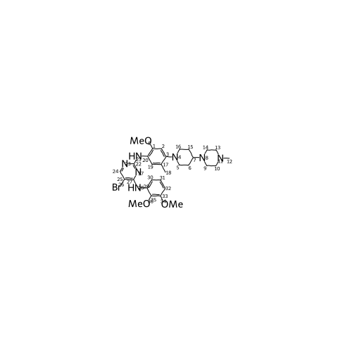 COc1cc(N2CCC(N3CCN(C)CC3)CC2)c(C)cc1Nc1ncc(Br)c(Nc2cccc(OC)c2OC)n1